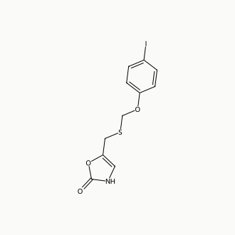 O=c1[nH]cc(CSCOc2ccc(I)cc2)o1